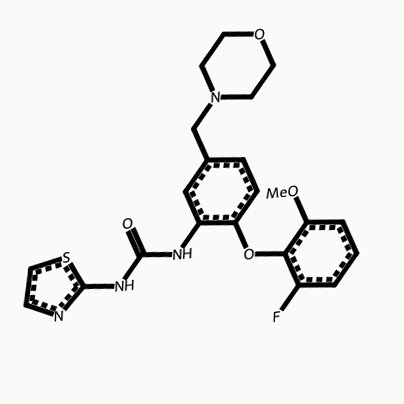 COc1cccc(F)c1Oc1ccc(CN2CCOCC2)cc1NC(=O)Nc1nccs1